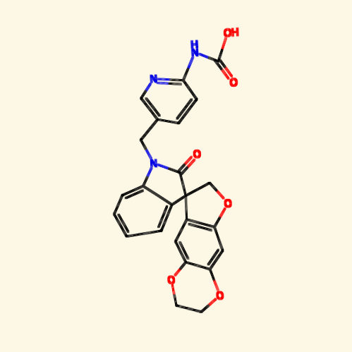 O=C(O)Nc1ccc(CN2C(=O)C3(COc4cc5c(cc43)OCCO5)c3ccccc32)cn1